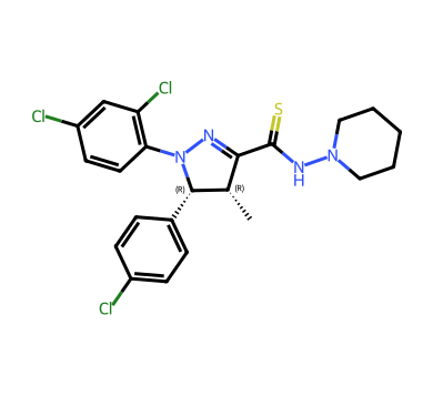 C[C@H]1C(C(=S)NN2CCCCC2)=NN(c2ccc(Cl)cc2Cl)[C@H]1c1ccc(Cl)cc1